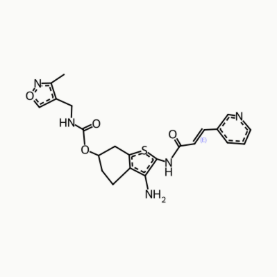 Cc1nocc1CNC(=O)OC1CCc2c(sc(NC(=O)/C=C/c3cccnc3)c2N)C1